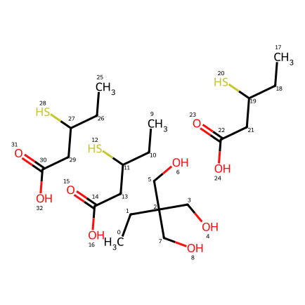 CCC(CO)(CO)CO.CCC(S)CC(=O)O.CCC(S)CC(=O)O.CCC(S)CC(=O)O